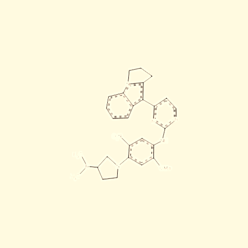 COc1cc(N2CCC(N(C)C)C2)c([N+](=O)[O-])cc1Nc1nccc(-c2c3n(c4ccccc24)CCC3)n1